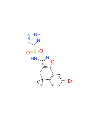 O=S(=O)(Nc1noc2c1CC1(CC1)c1ccc(Br)cc1-2)c1cn[nH]n1